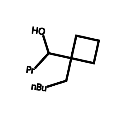 CCCCCC1([CH](O)[Pr])CCC1